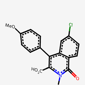 COc1ccc(-c2c(C(=O)O)n(C)c(=O)c3ccc(Cl)cc23)cc1